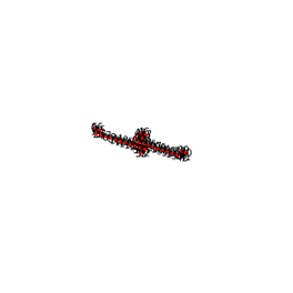 c1ccc(CCCCCCCCCCCCCCCC(OC(CCCCCCCCCCCCCCCc2ccccc2)c2ccccc2)c2ccccc2)cc1